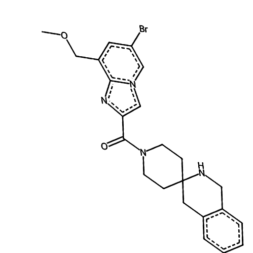 COCc1cc(Br)cn2cc(C(=O)N3CCC4(CC3)Cc3ccccc3CN4)nc12